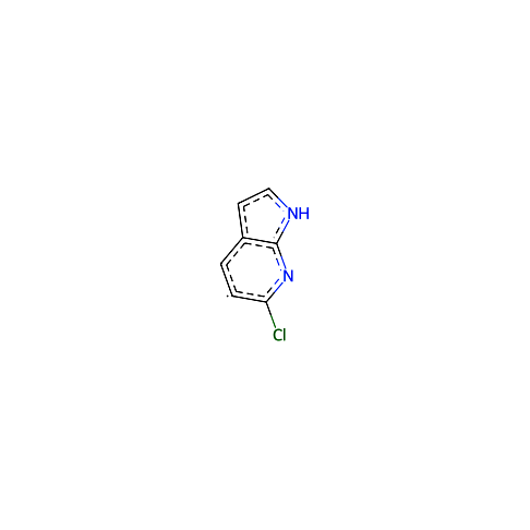 Clc1[c]cc2cc[nH]c2n1